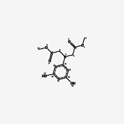 COC(=O)CN(CC(=O)OC)c1cc(O)cc(O)c1